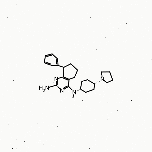 CN(c1nc(N)nc2c1CCCC2c1ccccc1)[C@H]1CC[C@@H](N2CCCC2)CC1